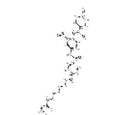 C=CC(=O)OCCCCCCOc1ccc(C(=O)Oc2ccc(OC(=O)C3CCC(CC)CC3)c(C=O)c2)cc1